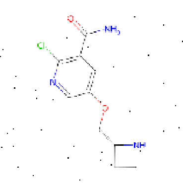 NC(=O)c1cc(OC[C@H]2CCN2)cnc1Cl